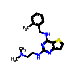 CN(C)CCNc1nc(NCc2ccccc2C(F)(F)F)c2sccc2n1